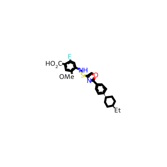 CC[C@H]1CC[C@H](c2ccc(-c3nc(SNc4cc(F)c(C(=O)O)cc4OC)co3)cc2)CC1